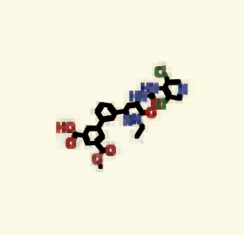 CCn1nc(-c2cccc(-c3cc(C(=O)O)cc(C(=O)OC)c3)c2)cc(NC(=O)Nc2c(Cl)cncc2Cl)c1=O